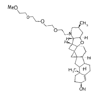 COCCOCCOCCOCCN1C[C@@H](C)C[C@H]2O[C@@]34CC[C@H]5C6CCC7=C[C@@H](O)CC[C@]7(C)[C@H]6CC56CC63C[C@@H]4[C@@H]21